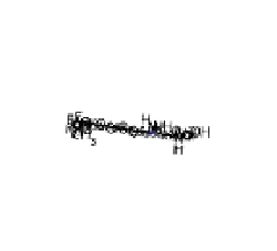 Cc1c(F)c(F)c(F)c(OC(=O)CCOCCOCCOCCOCCN/C=C(/CCCCCC(=O)Nc2ccc(O)cc2)N=N)c1F